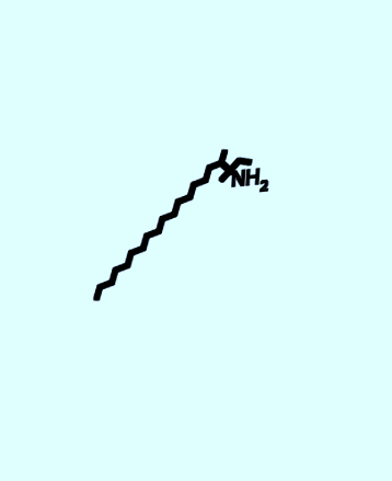 CCCCCCCCCCCCCCCCC(C)C(C)(N)CC